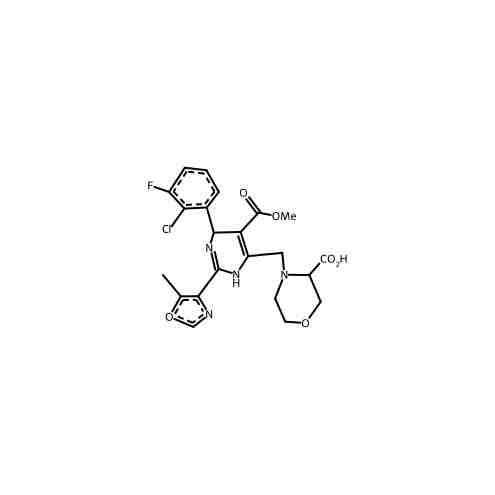 COC(=O)C1=C(CN2CCOCC2C(=O)O)NC(c2ncoc2C)=NC1c1cccc(F)c1Cl